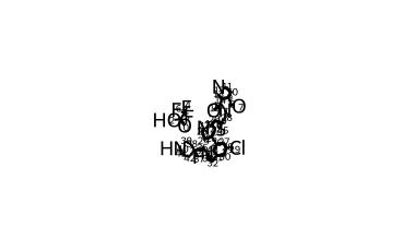 O=C(O)C(F)(F)F.O=C1c2ccncc2C(=O)N1Cc1cc2nccc(-c3cc(Cl)cc4ccn(CC5(F)CCNCC5)c34)c2s1